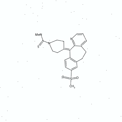 CNC(=S)N1CCC(=C2c3ccc(S(C)(=O)=O)cc3CCc3cccnc32)CC1